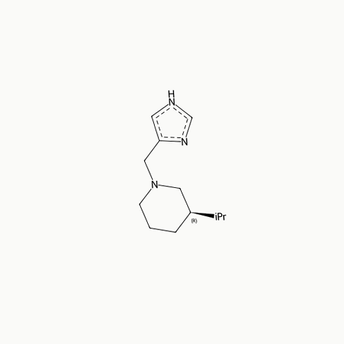 CC(C)[C@H]1CCCN(Cc2c[nH]cn2)C1